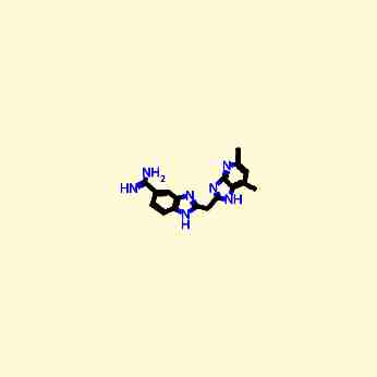 Cc1cc(C)c2[nH]c(Cc3nc4cc(C(=N)N)ccc4[nH]3)nc2n1